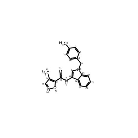 Cc1ccc(Cn2cc(NC(=O)c3oncc3C)c3ccccc32)cc1